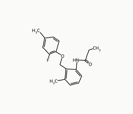 CCC(=O)Nc1cccc(C)c1COc1ccc(C)cc1F